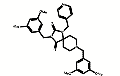 COc1cc(CN2CCC3(CC2)C(=O)N(Cc2cc(OC)cc(OC)c2)C(=O)N3Cc2ccncc2)cc(OC)c1